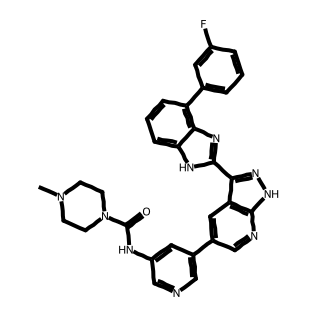 CN1CCN(C(=O)Nc2cncc(-c3cnc4[nH]nc(-c5nc6c(-c7cccc(F)c7)cccc6[nH]5)c4c3)c2)CC1